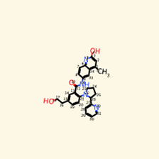 Cc1cc(O)nc2ccc(NC(=O)c3cc(CCO)ccc3N3CCCC3c3ccccn3)cc12